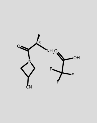 C[C@@H](N)C(=O)N1CC(C#N)C1.O=C(O)C(F)(F)F